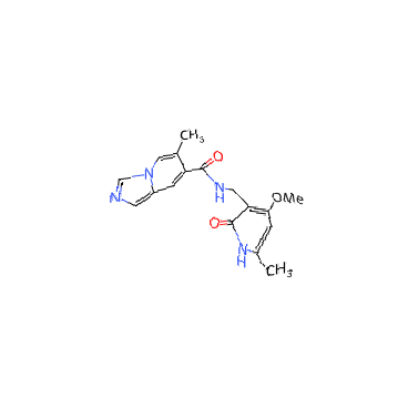 COc1cc(C)[nH]c(=O)c1CNC(=O)c1cc2cncn2cc1C